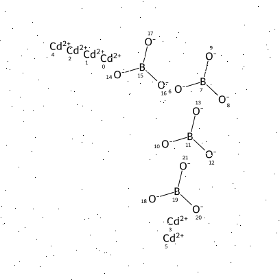 [Cd+2].[Cd+2].[Cd+2].[Cd+2].[Cd+2].[Cd+2].[O-]B([O-])[O-].[O-]B([O-])[O-].[O-]B([O-])[O-].[O-]B([O-])[O-]